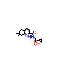 CC1(C)CCc2ccc(C(=O)NC[C@](C)(O)C3CC3)nc2C1